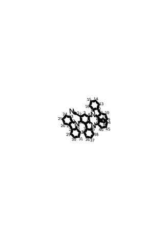 N#Cc1cc(-n2c3ccccc3c3ccccc32)c2c(c1-n1c3ccccc3c3ccccc31)c1ccccc1n2-c1ccccc1